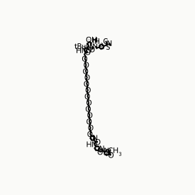 Cc1ncsc1-c1ccc(CNC(=O)[C@@H]2C[C@@H](O)CN2C(=O)[C@@H](NC(=O)CCOCCOCCOCCOCCOCCOCCOCCOCCOCCOCCOCCOCCOc2ccc(C(=O)Nc3ccc4oc(-c5ccc(=O)n(C)n5)nc4c3)nc2)C(C)(C)C)cc1